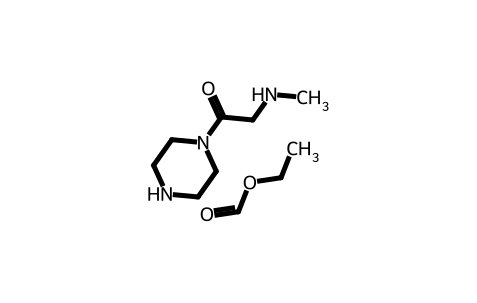 CCOC=O.CNCC(=O)N1CCNCC1